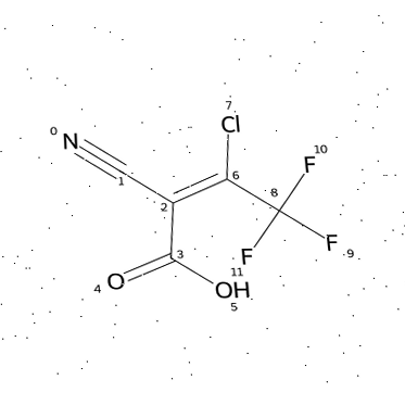 N#CC(C(=O)O)=C(Cl)C(F)(F)F